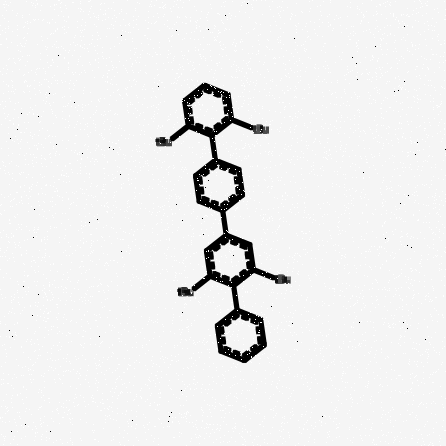 CC(C)(C)c1cccc(C(C)(C)C)c1-c1ccc(-c2cc(C(C)(C)C)c(-c3ccccc3)c(C(C)(C)C)c2)cc1